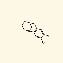 N#Cc1cc2c(cc1F)CC1CCCN2C1